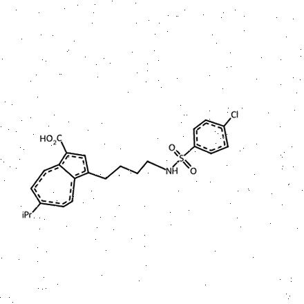 CC(C)c1ccc2c(CCCCNS(=O)(=O)c3ccc(Cl)cc3)cc(C(=O)O)c-2cc1